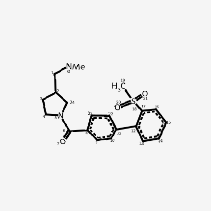 CNCC1CCN(C(=O)c2ccc(-c3ccccc3S(C)(=O)=O)cc2)C1